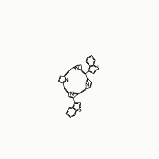 C1=CC2=NC1=CC1=NC(=C(c3csc4ccccc34)C3=NC(=CC4=NC(=C2)C=C4c2csc4ccccc24)C=C3)C=C1